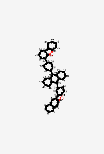 c1ccc2cc3c(cc2c1)oc1ccc(-c2c4ccccc4c(-c4ccc(-c5cccc6c5oc5ccccc56)cc4)c4ccccc24)cc13